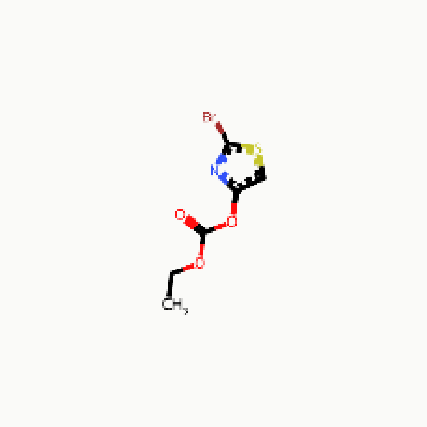 CCOC(=O)Oc1csc(Br)n1